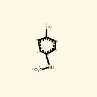 CC(C)(C)c1ccc(NC(=O)O)nc1